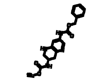 CC(C)(C)OC(=O)N[C@H]1CNc2cc(NC(=O)OCc3ccccc3)cnc2C1